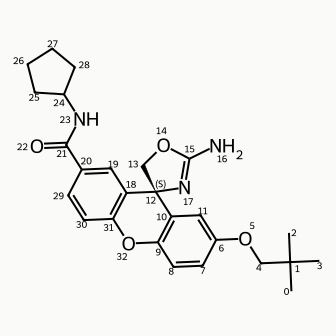 CC(C)(C)COc1ccc2c(c1)[C@]1(COC(N)=N1)c1cc(C(=O)NC3CCCC3)ccc1O2